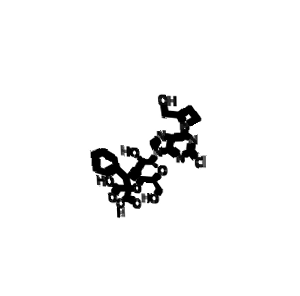 C#C[C@@H](O)[C@@H](O[C@@H](CO)COC(Cc1ccccc1)(C(=O)O)C(=O)O)n1cnc2c(N3CCC3CO)nc(Cl)nc21